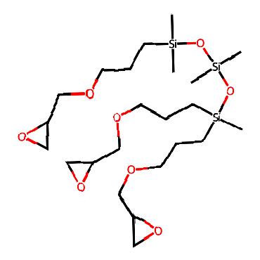 C[Si](C)(CCCOCC1CO1)O[Si](C)(C)O[Si](C)(CCCOCC1CO1)CCCOCC1CO1